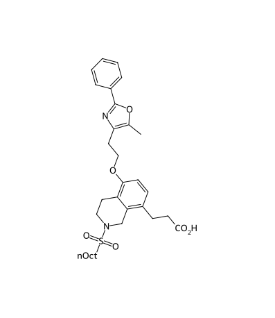 CCCCCCCCS(=O)(=O)N1CCc2c(OCCc3nc(-c4ccccc4)oc3C)ccc(CCC(=O)O)c2C1